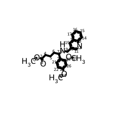 COC(=O)CCCC(NCc1cnc2ccccc2c1)c1ccc(OC)cc1OC